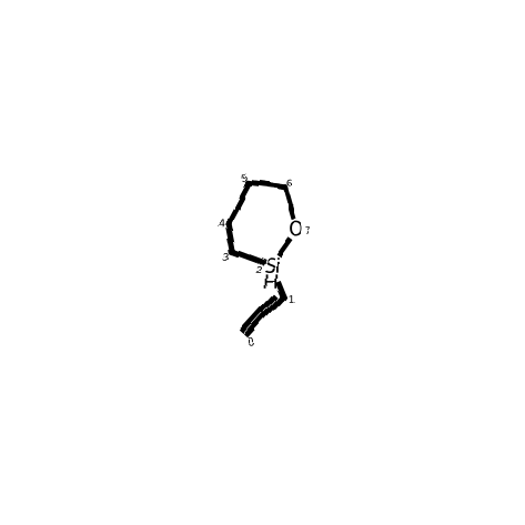 C=C[SiH]1CCCCO1